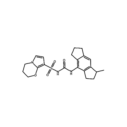 CC1CCc2c1cc1c(c2NC(=O)NS(=O)(=O)c2ccn3c2OCCC3)CCC1